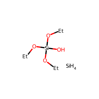 CCO[Si](O)(OCC)OCC.[SiH4]